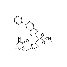 CS(=O)(=O)C(c1nnc(C[C@@H]2NSNC2=O)o1)c1nc2ccc(-c3ccccc3)cc2s1